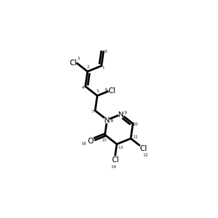 C=C/C(Cl)=C\C(Cl)CN1N=CC(Cl)C(Cl)C1=O